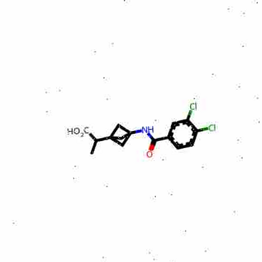 CC(C(=O)O)C12CC(NC(=O)c3ccc(Cl)c(Cl)c3)(C1)C2